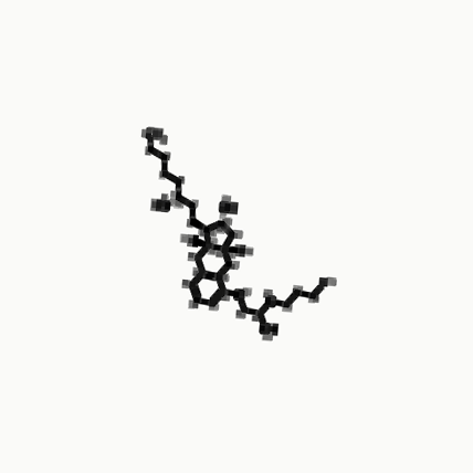 CCCCC[C@@H](O)CC[C@@H]1[C@H]2Cc3cccc(OCC(O)OCCCF)c3C[C@H]2C[C@H]1O